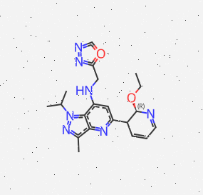 CCO[C@H]1N=CC=CC1c1cc(NCc2nnco2)c2c(n1)c(C)nn2C(C)C